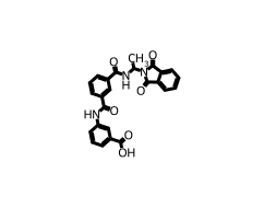 CC(NC(=O)c1cccc(C(=O)Nc2cccc(C(=O)O)c2)c1)N1C(=O)c2ccccc2C1=O